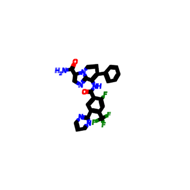 NC(=O)c1cnc2c(NC(=O)c3cc(-c4ncccn4)c(C(F)(F)F)cc3F)c(-c3ccccc3)ccn12